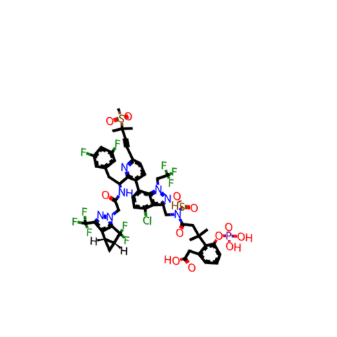 CC(C)(CC(=O)N(Cc1nn(CC(F)(F)F)c2c(-c3ccc(C#CC(C)(C)S(C)(=O)=O)nc3C(Cc3cc(F)cc(F)c3)NC(=O)Cn3nc(C(F)(F)F)c4c3C(F)(F)[C@@H]3C[C@H]43)ccc(Cl)c12)[SH](=O)=O)c1c(CC(=O)O)cccc1OP(=O)(O)O